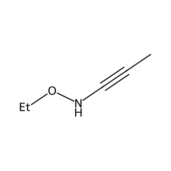 CC#CNOCC